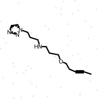 CC#CCCOCCCNCCCn1ccnn1